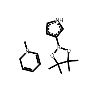 CC1(C)OB(c2cc[nH]c2)OC1(C)C.CN1C=CC=CC1